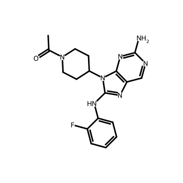 CC(=O)N1CCC(n2c(Nc3ccccc3F)nc3cnc(N)nc32)CC1